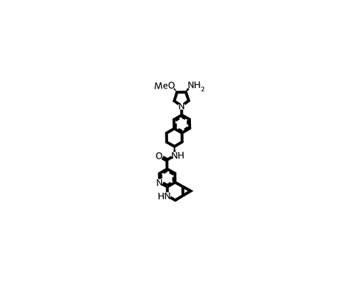 CO[C@H]1CN(c2ccc3c(c2)CC[C@H](NC(=O)c2cnc4c(c2)C2CC2CN4)C3)C[C@@H]1N